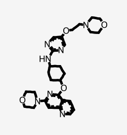 c1cnc2cc(N3CCOCC3)nc(OC3CCC(Nc4ncc(OCCN5CCOCC5)cn4)CC3)c2c1